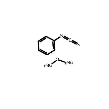 CCCCOCCCC.S=C=Nc1ccccc1